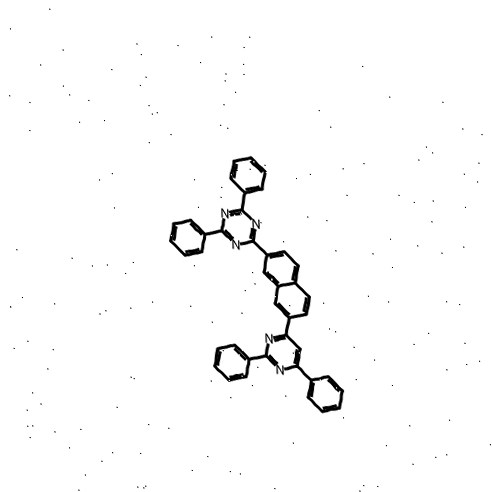 c1ccc(-c2cc(-c3ccc4ccc(-c5nc(-c6ccccc6)nc(-c6ccccc6)n5)cc4c3)nc(-c3ccccc3)n2)cc1